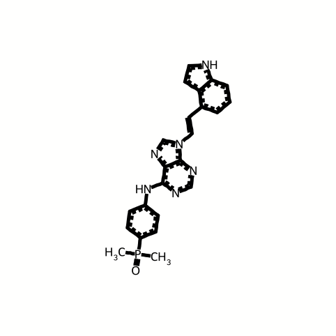 CP(C)(=O)c1ccc(Nc2ncnc3c2ncn3/C=C/c2cccc3[nH]ccc23)cc1